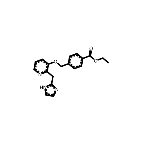 CCOC(=O)c1ccc(COc2cccnc2Cc2ncc[nH]2)cc1